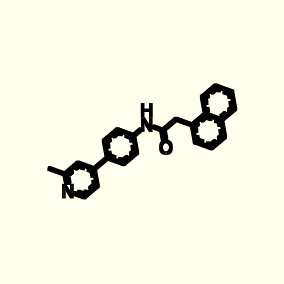 Cc1cc(-c2ccc(NC(=O)Cc3cccc4ccccc34)cc2)ccn1